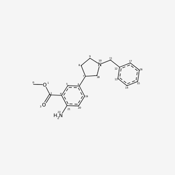 COC(=O)c1cc(C2CCN(Cc3ccccc3)C2)ccc1N